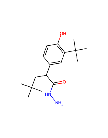 CC(C)(C)CC(C(=O)NN)c1ccc(O)c(C(C)(C)C)c1